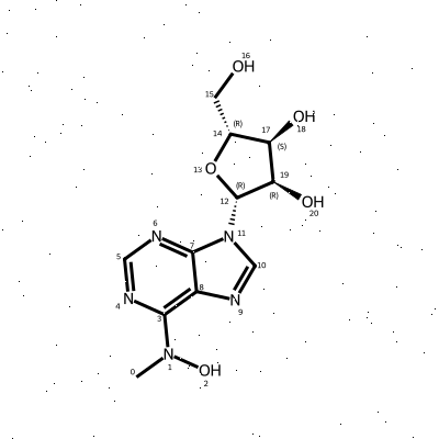 CN(O)c1ncnc2c1ncn2[C@@H]1O[C@H](CO)[C@@H](O)[C@H]1O